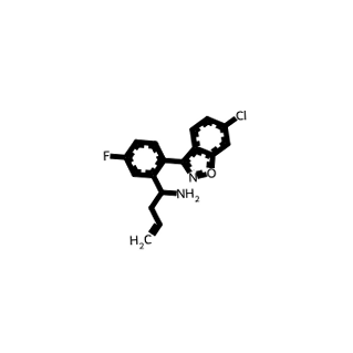 C=CCC(N)c1cc(F)ccc1-c1noc2cc(Cl)ccc12